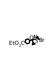 CCOC(=O)C1CCC(C(O)(c2ncc(Br)s2)C2CC2)CC1